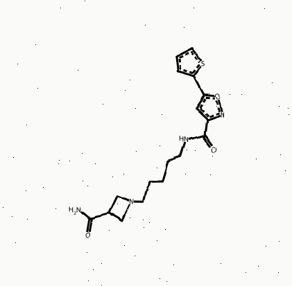 NC(=O)C1CN(CCCCCNC(=O)c2cc(-c3cccs3)on2)C1